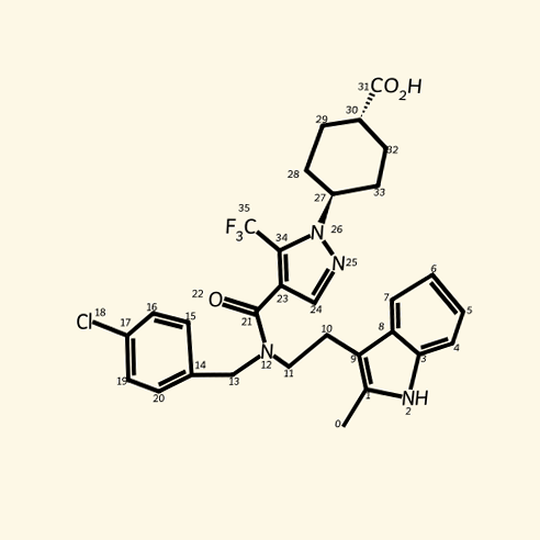 Cc1[nH]c2ccccc2c1CCN(Cc1ccc(Cl)cc1)C(=O)c1cnn([C@H]2CC[C@H](C(=O)O)CC2)c1C(F)(F)F